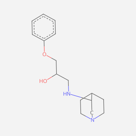 OC(CNC1CN2CCC1CC2)COc1ccccc1